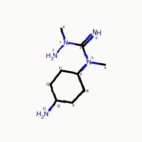 CN(N)C(=N)N(C)C1CCC(N)CC1